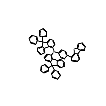 c1ccc(C2(c3ccccc3)c3ccccc3-c3c(N(c4ccc(-c5cccc6c5oc5ccccc56)cc4)c4cccc5c4-c4ccccc4C5(c4ccccc4)c4ccccc4)cccc32)cc1